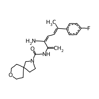 C=C(NC(=O)N1CCC2(CCOCC2)C1)/C(N)=C\C=C(/C)c1ccc(F)cc1